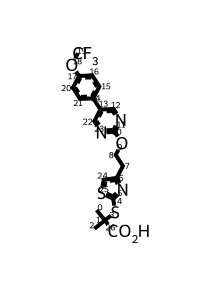 CC(C)(Sc1nc(CCOc2ncc(-c3ccc(OC(F)(F)F)cc3)cn2)cs1)C(=O)O